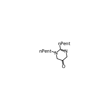 CCCCCC1=NCC(=O)CN1CCCCC